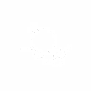 CN1CC=CCCCCN2C[C@@]3(CCCc4cc(Cl)ccc43)COc3ccc(cc32)[C@@H](C(=O)O)CCC1=O